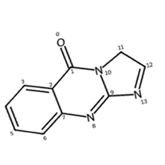 O=c1c2ccccc2nc2n1CC=N2